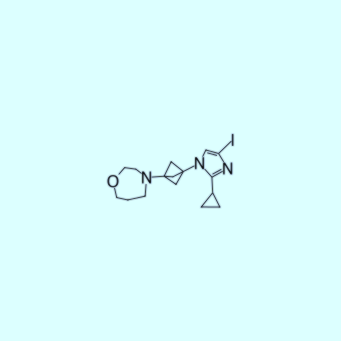 Ic1cn(C23CC(N4CCCOCC4)(C2)C3)c(C2CC2)n1